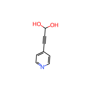 OC(O)C#Cc1ccncc1